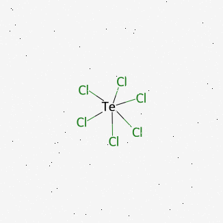 Cl[Te](Cl)(Cl)(Cl)(Cl)Cl